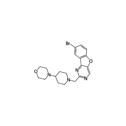 Brc1ccc2oc3cnc(CN4CCC(N5CCOCC5)CC4)nc3c2c1